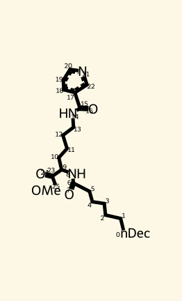 CCCCCCCCCCCCCCCC(=O)NC(CCCCNC(=O)c1cccnc1)C(=O)OC